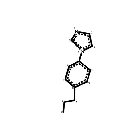 CCCc1ccc(-n2[c]ncc2)cc1